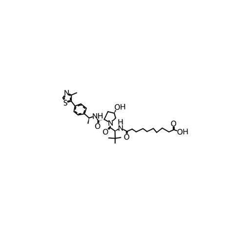 Cc1ncsc1-c1ccc([C@H](C)NC(=O)[C@@H]2C[C@@H](O)CN2C(=O)[C@@H](NC(=O)CCCCCCCCC(=O)O)C(C)(C)C)cc1